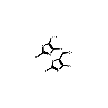 O=Cc1sc(Br)nc1Br.OCc1sc(Br)nc1Br